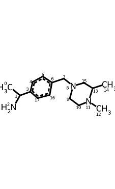 CC(N)c1ccc(CN2CCN(C)C(C)C2)cc1